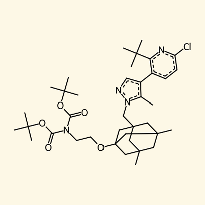 Cc1c(-c2ccc(Cl)nc2C(C)(C)C)cnn1CC12CC3(C)CC(C)(C1)CC(OCCN(C(=O)OC(C)(C)C)C(=O)OC(C)(C)C)(C3)C2